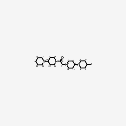 CC1CCN(C2CCN(CC(=O)N3CCC(N4CCCCC4)CC3)CC2)CC1